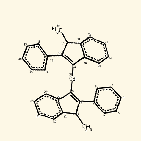 CC1C(c2ccccc2)=[C]([Gd][C]2=C(c3ccccc3)C(C)c3ccccc32)c2ccccc21